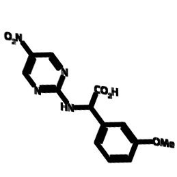 COc1cccc(C(Nc2ncc([N+](=O)[O-])cn2)C(=O)O)c1